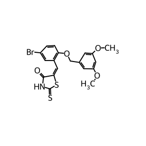 COc1cc(COc2ccc(Br)cc2/C=C2/SC(=S)NC2=O)cc(OC)c1